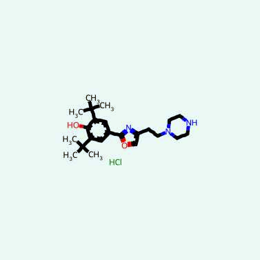 CC(C)(C)c1cc(-c2nc(CCN3CCNCC3)co2)cc(C(C)(C)C)c1O.Cl